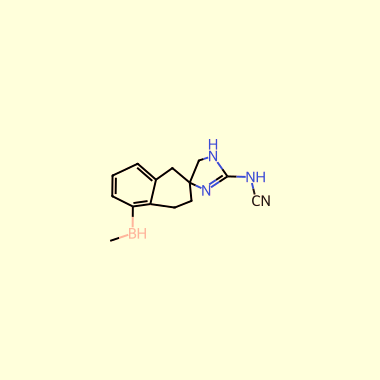 CBc1cccc2c1CCC1(CNC(NC#N)=N1)C2